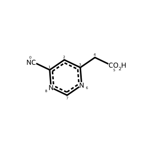 N#Cc1cc(CC(=O)O)ncn1